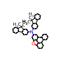 CC1(C)c2ccccc2-c2ccc(N(c3ccc4c(c3)C(C)(C)c3ccccc3-4)c3cc4oc5cccc6c7ccccc7c(c3)c4c56)cc21